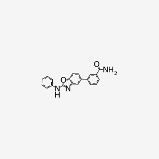 NC(=O)c1cccc(-c2ccc3oc(Nc4ccccc4)nc3c2)c1